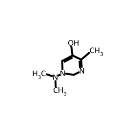 CC1=NCN(N(C)C)C=C1O